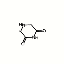 O=C1[C]NCC(=O)N1